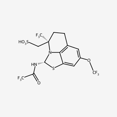 O=C(N[C@H]1Sc2cc(OC(F)(F)F)cc3c2N1[C@](CS(=O)(=O)O)(C(F)(F)F)CC3)C(F)(F)F